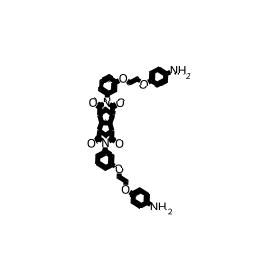 Nc1ccc(OCCOc2cccc(N3C(=O)C4CC(C3=O)C3C5CC(C(=O)N(c6cccc(OCCOc7ccc(N)cc7)c6)C5=O)C43)c2)cc1